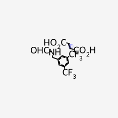 O=C(O)/C=C/C(=O)O.O=CNCc1cc(C(F)(F)F)cc(C(F)(F)F)c1